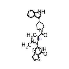 C=NN(/C=C(\C)C(=O)N1CCC(c2c[nH]c3ccccc23)CC1)c1nc2ccsc2c(=O)[nH]1